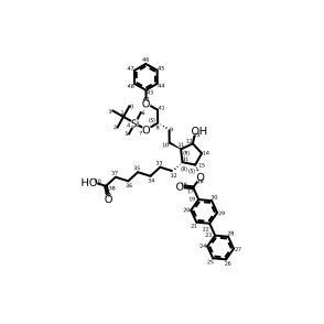 CC(C)(C)[Si](C)(C)O[C@@H](CC[C@H]1C(O)C[C@H](OC(=O)c2ccc(-c3ccccc3)cc2)[C@@H]1CCCCCCC(=O)O)COc1ccccc1